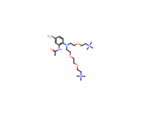 CC(=O)Nc1cc(N)ccc1N(CCOCCOCC[N+](C)(C)C)CCOCC[N+](C)(C)C